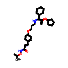 C=C(OC1CCCC1)[C@@H](NCCCOc1ccc(/C=C/C(=O)NOC(C)OCC(C)C)cc1)C1CCCCC1